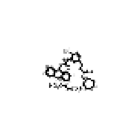 CC(C)(C)c1ccc(CC[CH]([Na])CC2CCCCCC2)cc1NC(=O)CC1c2ccccc2Oc2ccccc21.O=C(O)CCC(=O)O